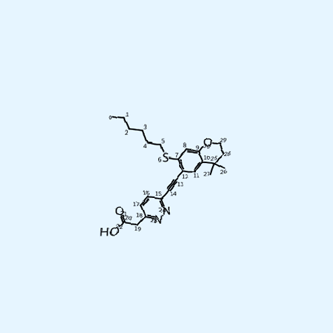 CCCCCCSc1cc2c(cc1C#Cc1ccc(CC(=O)O)nn1)C(C)(C)CCO2